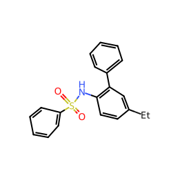 CCc1ccc(NS(=O)(=O)c2ccccc2)c(-c2ccccc2)c1